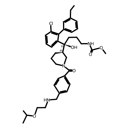 CCc1cccc(-c2c(Cl)cccc2[C@](O)(CCCNC(=O)OC)[C@@H]2CCCN(C(=O)c3ccc(CNCCOC(C)C)cc3)C2)c1